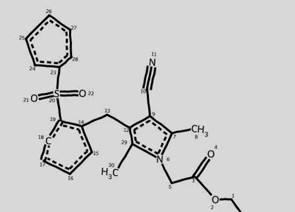 CCOC(=O)Cn1c(C)c(C#N)c(Cc2ccccc2S(=O)(=O)c2ccccc2)c1C